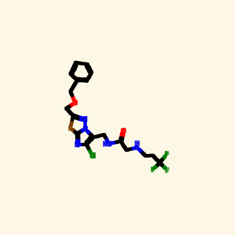 O=C(CNCCC(F)(F)F)NCc1c(Cl)nc2sc(COCc3ccccc3)nn12